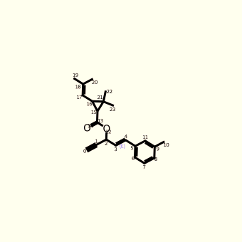 C#CC(/C=C/c1cccc(C)c1)OC(=O)C1C(C=C(C)C)C1(C)C